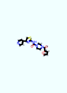 O=C(NC1=NC(c2ccncc2)CS1)N1CCN(C(=O)c2ccco2)CC1